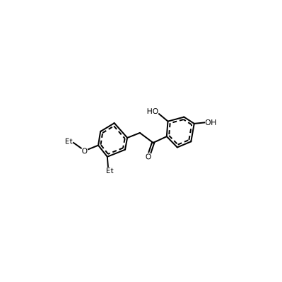 CCOc1ccc(CC(=O)c2ccc(O)cc2O)cc1CC